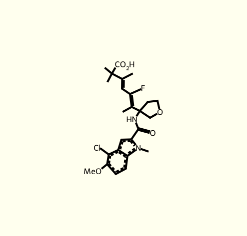 COc1ccc2c(cc(C(=O)NC3(/C(C)=C(F)/C=C(\C)C(C)(C)C(=O)O)CCOC3)n2C)c1Cl